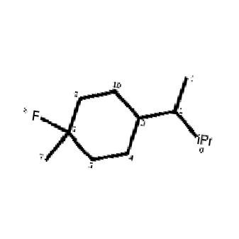 CC(C)C(C)C1CCC(C)(F)CC1